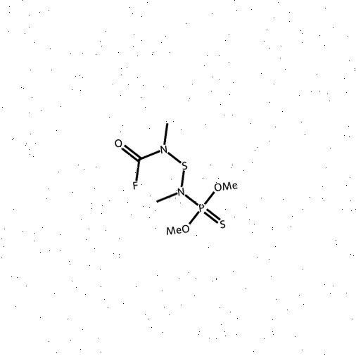 COP(=S)(OC)N(C)SN(C)C(=O)F